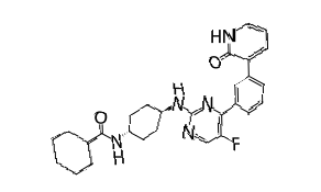 O=C(N[C@H]1CC[C@H](Nc2ncc(F)c(-c3cccc(-c4ccc[nH]c4=O)c3)n2)CC1)C1CCCCC1